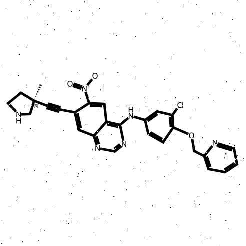 C[C@@]1(C#Cc2cc3ncnc(Nc4ccc(OCc5ccccn5)c(Cl)c4)c3cc2[N+](=O)[O-])CCNC1